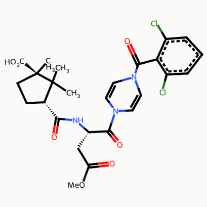 COC(=O)C[C@H](NC(=O)[C@@H]1CC[C@@](C)(C(=O)O)C1(C)C)C(=O)N1C=CN(C(=O)c2c(Cl)cccc2Cl)C=C1